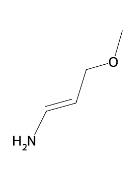 COC/C=C/N